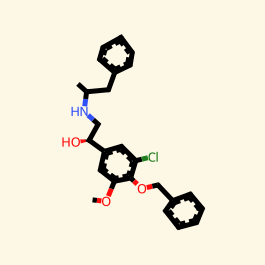 COc1cc([C@@H](O)CNC(C)Cc2ccccc2)cc(Cl)c1OCc1ccccc1